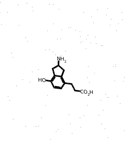 NC1Cc2c(O)ccc(CCC(=O)O)c2C1